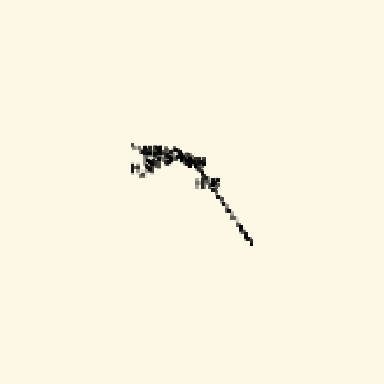 CCCCCCCCCCCCCCCCCC(=O)NCCCCC(=O)N1CCN(c2ccc(Cn3cc4nc(N)nc(NCCCC)c4n3)c(OC)c2)CC1